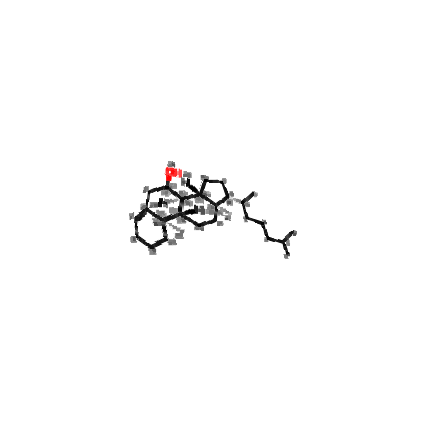 CC(C)CCCC(C)[C@H]1CC[C@H]2[C@@H]3[C@H](O)CC4=CCCC[C@]4(C)[C@H]3CC[C@]12C